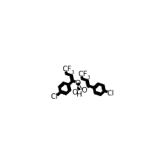 O=[PH](OC(=CCC(F)(F)F)c1ccc(Cl)cc1)OC(=CCC(F)(F)F)c1ccc(Cl)cc1